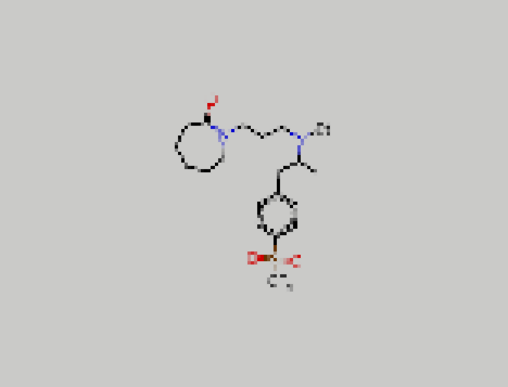 CCN(CCCN1CCCCCC1=O)C(C)Cc1ccc(S(=O)(=O)C(F)(F)F)cc1